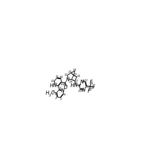 Cc1cccnc1C1=C(C(=O)N2CC3CC34CC(Nc3cnc(C(F)(F)F)cn3)C24)C=CCN1